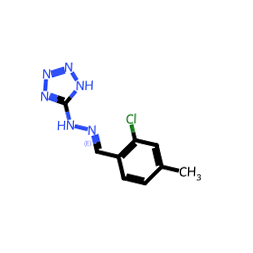 Cc1ccc(/C=N/Nc2nnn[nH]2)c(Cl)c1